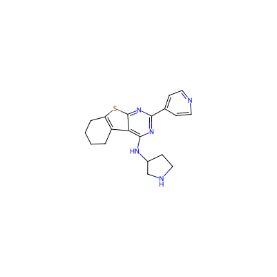 c1cc(-c2nc(NC3CCNC3)c3c4c(sc3n2)CCCC4)ccn1